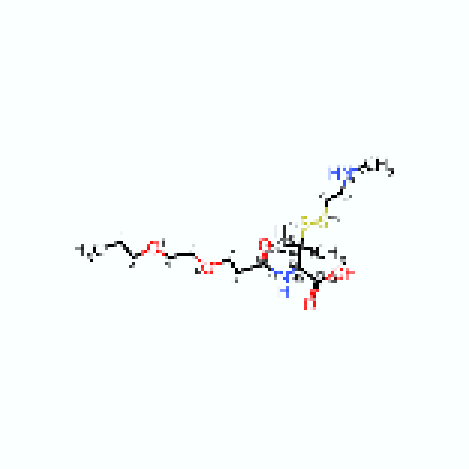 CCCOCCOCCC(=O)N[C@H](C(=O)O)C(C)(C)SSCCNC